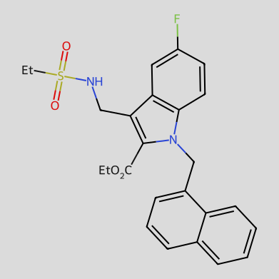 CCOC(=O)c1c(CNS(=O)(=O)CC)c2cc(F)ccc2n1Cc1cccc2ccccc12